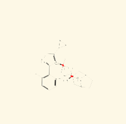 CC(C)(C)OC(=O)N1C2CCC1CC(OCc1c(-c3c(Cl)cccc3Cl)noc1C1CC1)C2